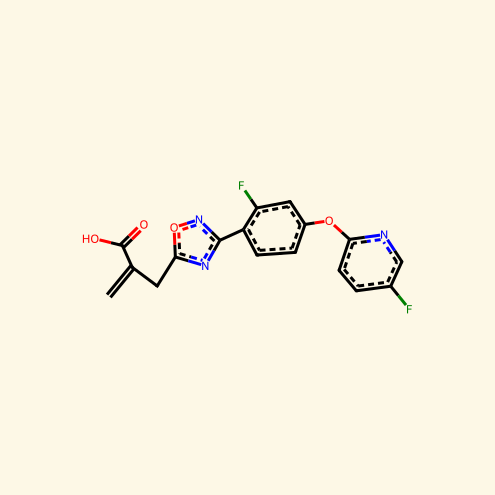 C=C(Cc1nc(-c2ccc(Oc3ccc(F)cn3)cc2F)no1)C(=O)O